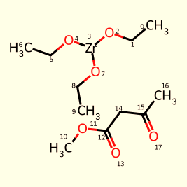 CC[O][Zr]([O]CC)[O]CC.COC(=O)CC(C)=O